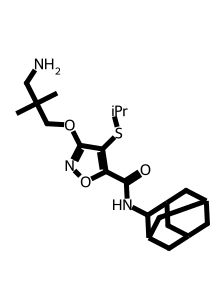 CC(C)Sc1c(OCC(C)(C)CN)noc1C(=O)NC1C2CC3CC(C2)CC1C3